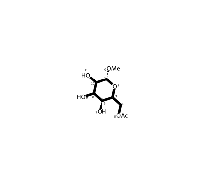 CO[C@@H]1OC(COC(C)=O)[C@@H](O)C(O)C1O